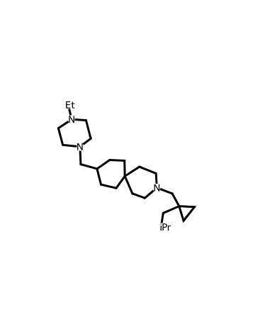 CCN1CCN(CC2CCC3(CC2)CCN(CC2(CC(C)C)CC2)CC3)CC1